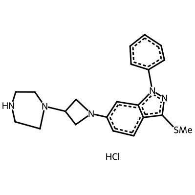 CSc1nn(-c2ccccc2)c2cc(N3CC(N4CCNCC4)C3)ccc12.Cl